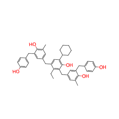 CCc1c(Cc2cc(C)c(O)c(Cc3ccc(O)cc3)c2)cc(C2CCCCC2)c(O)c1Cc1cc(C)c(O)c(Cc2ccc(O)cc2)c1